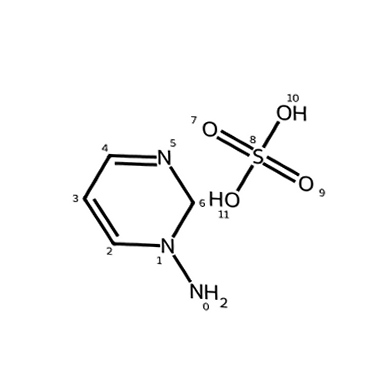 NN1C=CC=NC1.O=S(=O)(O)O